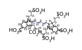 CC1(CCCS(=O)(=O)O)C(/C=C/C=C/C=C2/N(CCCS(=O)(=O)O)c3ccc(S(=O)(=O)O)cc3C2(C)CCCC(=O)O)=[N+](CCCS(=O)(=O)O)c2ccc(S(=O)(=O)O)cc21